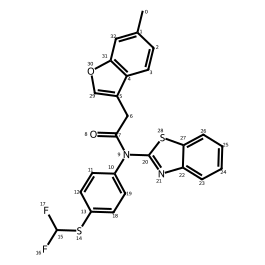 Cc1ccc2c(CC(=O)N(c3ccc(SC(F)F)cc3)c3nc4ccccc4s3)coc2c1